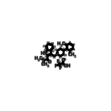 Cc1cccc(C)c1C1CCN(Cc2c(C(=O)N(C)C)[nH]c3ccccc23)CC1.O=C(O)C(F)(F)F